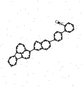 [C-]#[N+]c1ccccc1-c1ccc(-c2ccc3cc(-c4ccc5c6c(cccc46)-c4ccccc4-5)ccc3c2)cc1